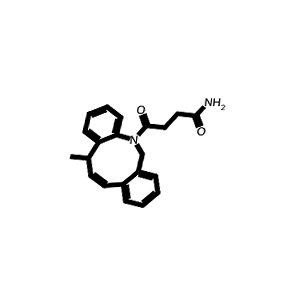 CC1/C=C\c2ccccc2CN(C(=O)CCC(N)=O)c2ccccc21